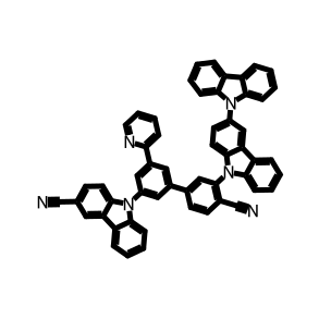 N#Cc1ccc2c(c1)c1ccccc1n2-c1cc(-c2ccc(C#N)c(-n3c4ccccc4c4cc(-n5c6ccccc6c6ccccc65)ccc43)c2)cc(-c2ccccn2)c1